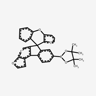 CC1(C)OB(c2ccc3c(c2)C2(c4ccccc4Oc4ccccc42)c2ccc4occc4c2-3)OC1(C)C